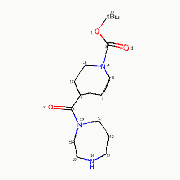 CC(C)(C)OC(=O)N1CCC(C(=O)N2CCCNCC2)CC1